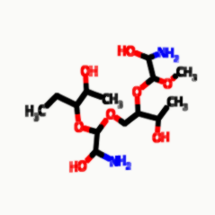 CCC(OC(OCC(OC(OC)C(N)O)C(C)O)C(N)O)C(C)O